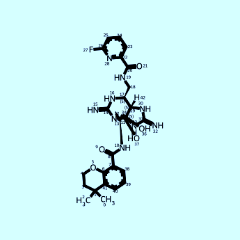 CC1(C)CCOc2c(C(=O)N[C@H]3CN4C(=N)N[C@@H](CNC(=O)c5cccc(F)n5)[C@@H]5NC(=N)N[C@@]54C3(O)O)cccc21